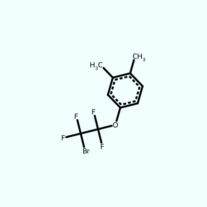 Cc1ccc(OC(F)(F)C(F)(F)Br)cc1C